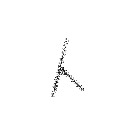 CCCCCCCCCCCCCCCCCC(CC(O)CCCCCCCCCCCCCC)OCCCCCCCCCCCCCCCC